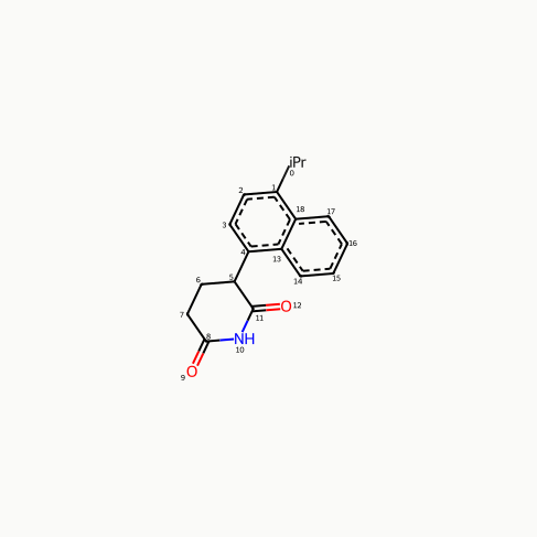 CC(C)c1ccc(C2CCC(=O)NC2=O)c2ccccc12